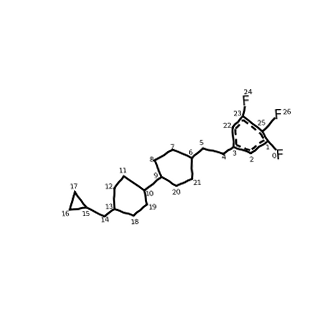 Fc1cc(CCC2CCC(C3CCC(CC4CC4)CC3)CC2)cc(F)c1F